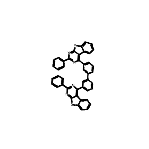 c1ccc(-c2nc(-c3cccc(-c4cccc(-c5nc(-c6ccccc6)nc6sc7ccccc7c56)c4)c3)c3c(n2)sc2ccccc23)cc1